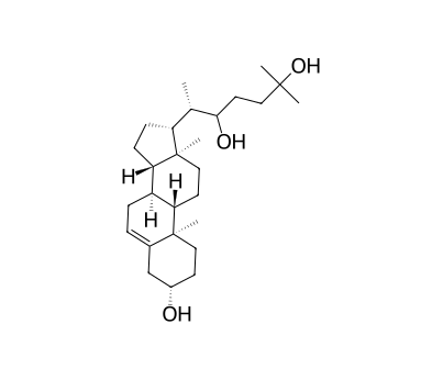 C[C@H](C(O)CCC(C)(C)O)[C@H]1CC[C@H]2[C@@H]3CC=C4C[C@@H](O)CC[C@]4(C)[C@H]3CC[C@]12C